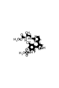 COC(=O)NC(C)CNc1nccc(-c2c[nH]nc2-c2cc(Cl)cc(NS(C)(=O)=O)c2F)n1